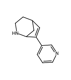 C1=C(c2cccnc2)C2CC1CCN2